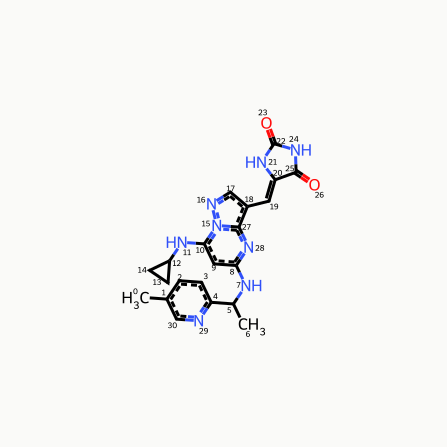 Cc1ccc(C(C)Nc2cc(NC3CC3)n3ncc(/C=C4\NC(=O)NC4=O)c3n2)nc1